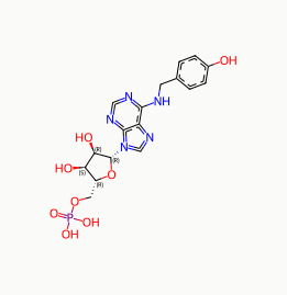 O=P(O)(O)OC[C@H]1O[C@@H](n2cnc3c(NCc4ccc(O)cc4)ncnc32)[C@H](O)[C@@H]1O